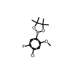 COc1cc(Cl)c(F)cc1B1OC(C)(C)C(C)(C)O1